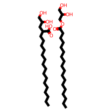 CCCCCCCCCCCCCCCCC(CC(O)CO)C(=O)O.CCCCCCCCCCCCCCCCCC(=O)OCC(O)CO